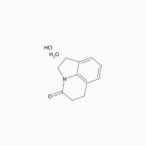 Cl.O.O=C1CCc2cccc3c2N1CC3